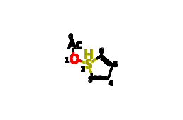 CC(=O)O[SH]1C=CC=C1